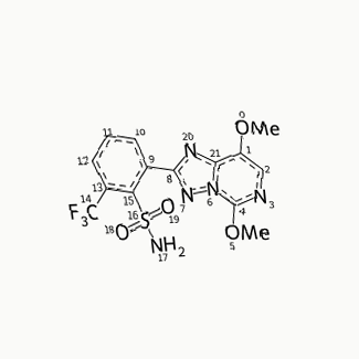 COc1cnc(OC)n2nc(-c3cccc(C(F)(F)F)c3S(N)(=O)=O)nc12